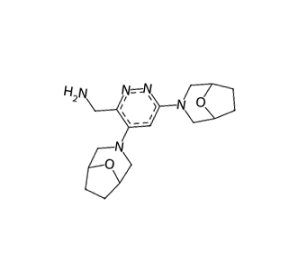 NCc1nnc(N2CC3CCC(C2)O3)cc1N1CC2CCC(C1)O2